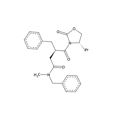 CC(C)[C@H]1COC(=O)N1C(=O)[C@@H](CC(=O)N(C)Cc1ccccc1)Cc1ccccc1